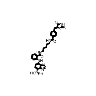 O=C1NC(=S)S/C1=C\c1ccc(C(=O)NCCCCCNC(=O)c2ccccc2Nc2ccc(N(O)O)c3nonc23)cc1